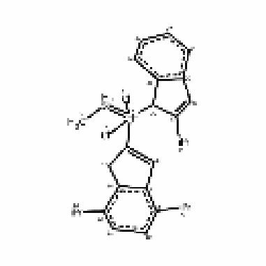 C[SiH]=[Hf]([Cl])([Cl])([C]1=Cc2c(C(C)C)ccc(C(C)C)c2C1)[CH]1C(C(C)C)=Cc2ccccc21